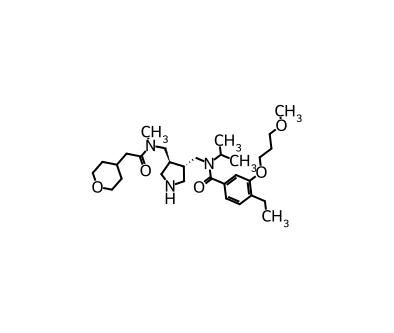 CCc1ccc(C(=O)N(C[C@@H]2CNC[C@H]2CN(C)C(=O)CC2CCOCC2)C(C)C)cc1OCCCOC